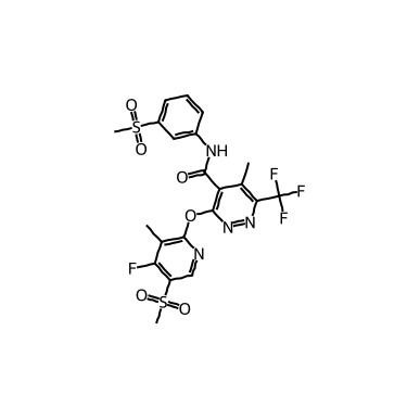 Cc1c(Oc2nnc(C(F)(F)F)c(C)c2C(=O)Nc2cccc(S(C)(=O)=O)c2)ncc(S(C)(=O)=O)c1F